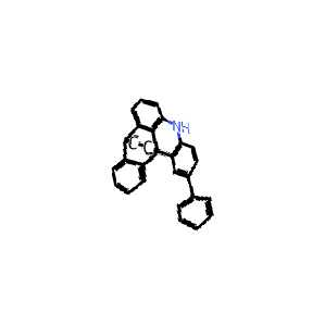 c1ccc(-c2ccc3c(c2)C24CCC(c5ccccc52)c2cccc(c24)N3)cc1